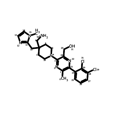 Cc1nc(N2CCC(CN)(Cc3nccn3C)CC2)c(CO)nc1-c1cccc(Cl)c1Cl